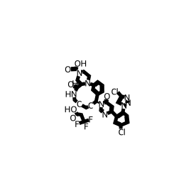 O=C(O)CC(F)(F)F.O=C1NCCCC[C@H](n2cnc(-c3cc(Cl)ccc3-n3cc(Cl)nn3)cc2=O)c2cccc(c2)N2CCN(C(=O)O)C[C@H]12